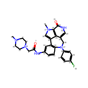 CN1CCN(CC(=O)Nc2ccc3c(c2)-c2cn(C)c4c(=O)[nH]cc(c24)CN3c2ccc(F)cc2)CC1